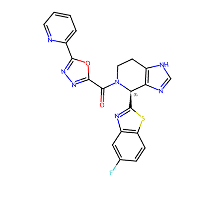 O=C(c1nnc(-c2ccccn2)o1)N1CCc2[nH]cnc2[C@H]1c1nc2cc(F)ccc2s1